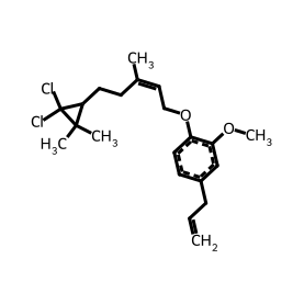 C=CCc1ccc(OCC=C(C)CCC2C(C)(C)C2(Cl)Cl)c(OC)c1